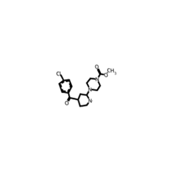 COC(=O)N1CCN(C2CC(C(=O)c3ccc(Cl)cc3)CC[N]2)CC1